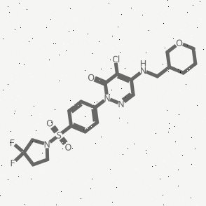 O=c1c(Cl)c(NCC2CCCOC2)cnn1-c1ccc(S(=O)(=O)N2CCC(F)(F)C2)cc1